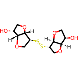 O[C@@H]1CO[C@H]2[C@@H]1OC[C@@H]2SS[C@H]1CO[C@H]2[C@@H]1OC[C@H]2O